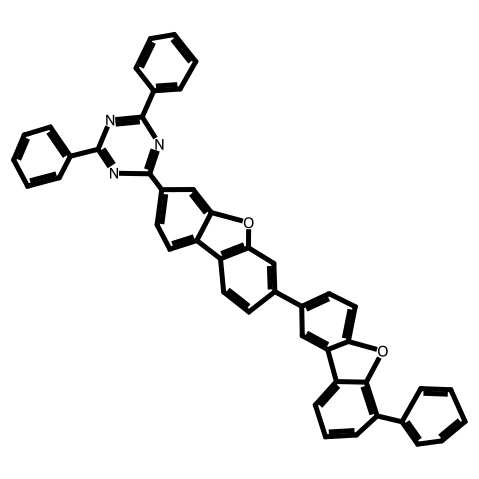 c1ccc(-c2nc(-c3ccccc3)nc(-c3ccc4c(c3)oc3cc(-c5ccc6oc7c(-c8ccccc8)cccc7c6c5)ccc34)n2)cc1